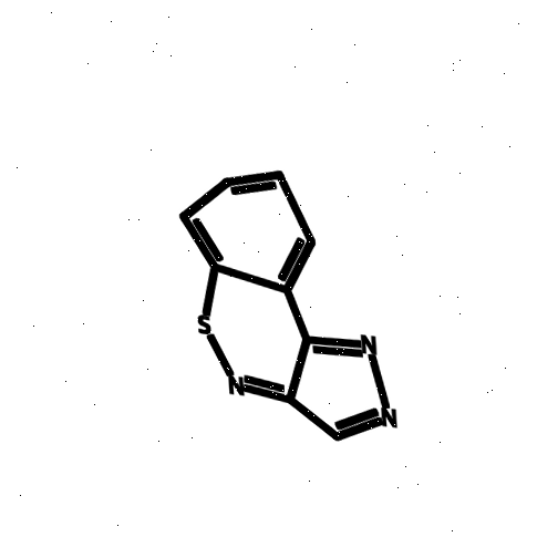 c1ccc2c3nncc-3nsc2c1